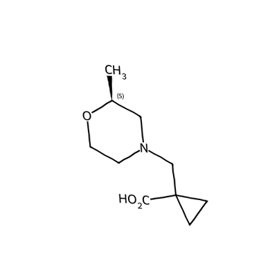 C[C@H]1CN(CC2(C(=O)O)CC2)CCO1